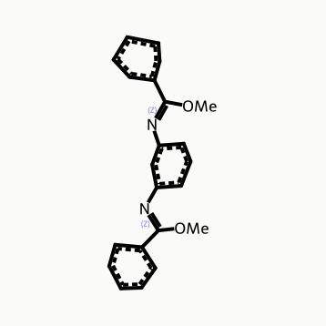 CO/C(=N\c1cccc(/N=C(\OC)c2ccccc2)c1)c1ccccc1